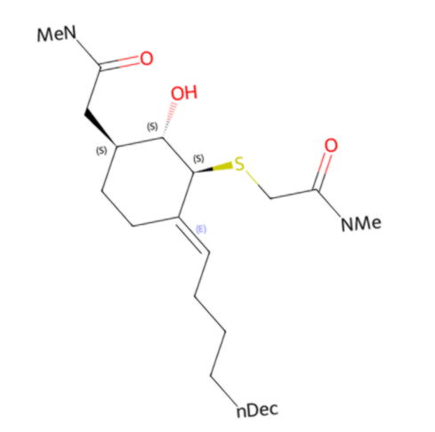 CCCCCCCCCCCCC/C=C1\CC[C@@H](CC(=O)NC)[C@H](O)[C@H]1SCC(=O)NC